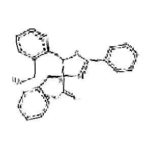 COC(=O)[C@@]1(Cc2ccccc2)N=C(c2ccccc2)OC1c1ccccc1CN